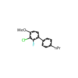 CCCc1ccc(-c2ccc(OC)c(Cl)c2F)cc1